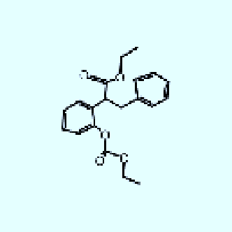 CCOC(=O)Oc1ccccc1C(Cc1ccccc1)C(=O)OCC